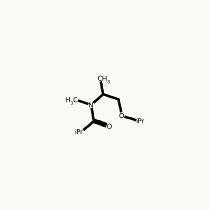 CC(C)OCC(C)N(C)C(=O)C(C)C